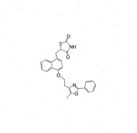 Cc1oc(-c2ccccc2)nc1CCOc1ccc(CC2SC(=O)NC2=O)c2ccccc12